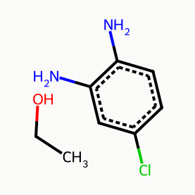 CCO.Nc1ccc(Cl)cc1N